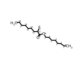 CCCCCCCCOC(=O)C(F)CCCCCCC